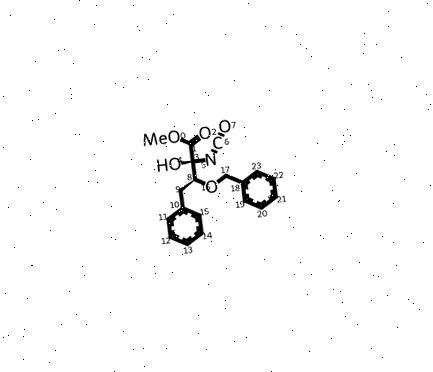 COC(=O)[C@](O)(N=C=O)[C@H](Cc1ccccc1)OCc1ccccc1